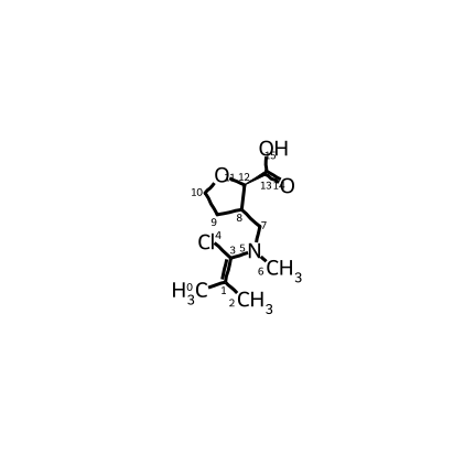 CC(C)=C(Cl)N(C)CC1CCO[C@H]1C(=O)O